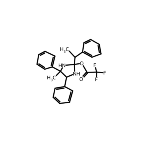 CC(c1ccccc1)C1(OC(=O)C(F)(F)F)NC(c2ccccc2)C(C)(c2ccccc2)N1